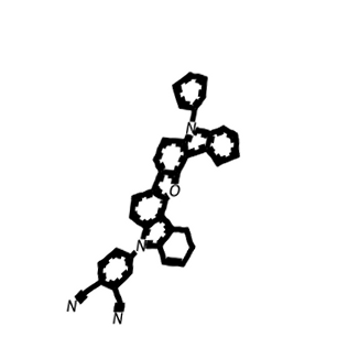 N#Cc1ccc(-n2c3c(c4c5oc6c(ccc7c6c6ccccc6n7-c6ccccc6)c5ccc42)CCC=C3)cc1C#N